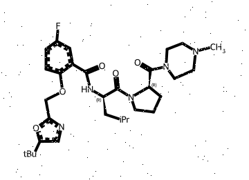 CC(C)C[C@@H](NC(=O)c1cc(F)ccc1OCc1ncc(C(C)(C)C)o1)C(=O)N1CCC[C@@H]1C(=O)N1CCN(C)CC1